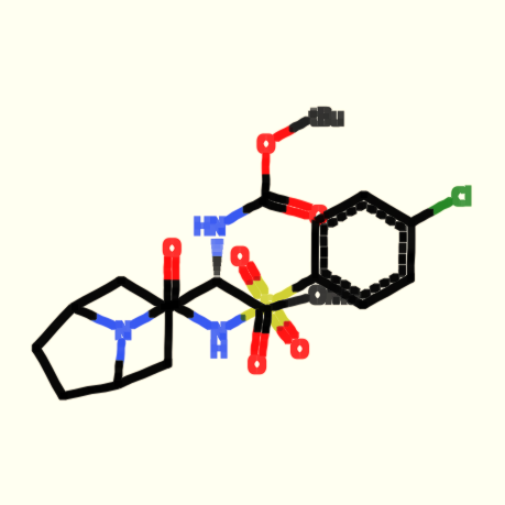 COC(=O)[C@@H](NC(=O)OC(C)(C)C)C1CC2CCC(C1)N2C(=O)NS(=O)(=O)c1ccc(Cl)cc1